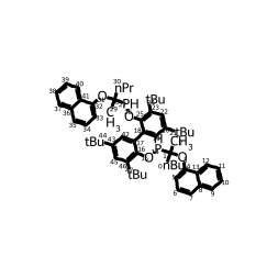 CCCCC(C)(Oc1cccc2ccccc12)POc1c(-c2cc(C(C)(C)C)cc(C(C)(C)C)c2OPC(C)(CCC)Oc2cccc3ccccc23)cc(C(C)(C)C)cc1C(C)(C)C